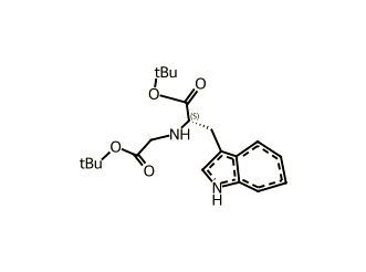 CC(C)(C)OC(=O)CN[C@@H](Cc1c[nH]c2ccccc12)C(=O)OC(C)(C)C